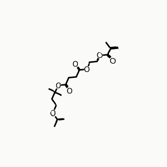 C=C(C)C(=O)OCCOC(=O)CCC(=O)OC(C)(C)CCOC(C)C